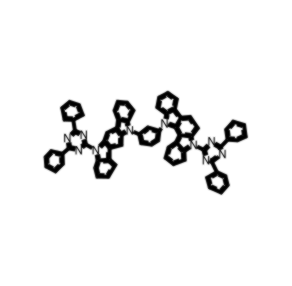 c1ccc(-c2nc(-c3ccccc3)nc(-n3c4ccccc4c4cc5c(cc43)c3ccccc3n5-c3cccc(-n4c5ccccc5c5ccc6c(c7ccccc7n6-c6nc(-c7ccccc7)nc(-c7ccccc7)n6)c54)c3)n2)cc1